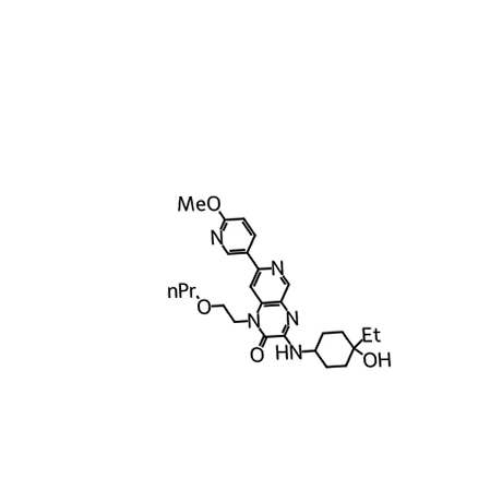 CCCOCCn1c(=O)c(NC2CCC(O)(CC)CC2)nc2cnc(-c3ccc(OC)nc3)cc21